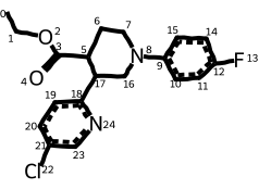 CCOC(=O)C1CCN(c2ccc(F)cc2)CC1c1ccc(Cl)cn1